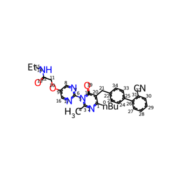 CCCCc1nc(C)n(-c2ncc(OCC(=O)NCC)cn2)c(=O)c1Cc1ccc(-c2ccccc2C#N)cc1